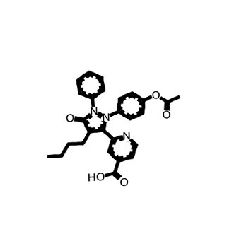 CCCCc1c(-c2cc(C(=O)O)ccn2)n(-c2ccc(OC(C)=O)cc2)n(-c2ccccc2)c1=O